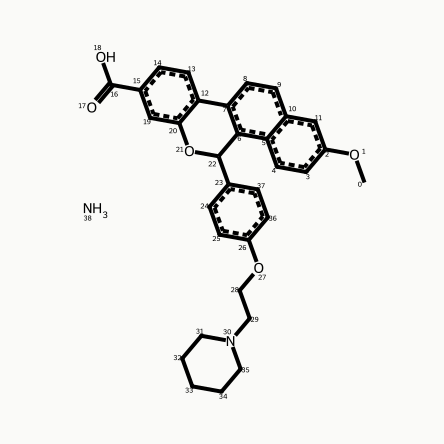 COc1ccc2c3c(ccc2c1)-c1ccc(C(=O)O)cc1OC3c1ccc(OCCN2CCCCC2)cc1.N